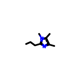 CCCc1nc(C)c(C)n1C